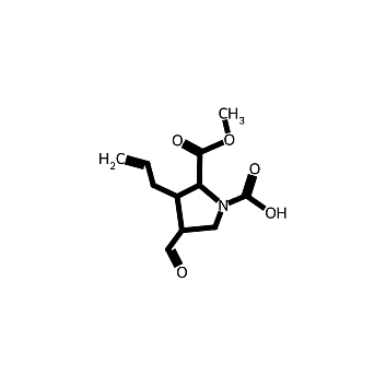 C=CCC1C(C=O)CN(C(=O)O)C1C(=O)OC